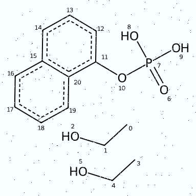 CCO.CCO.O=P(O)(O)Oc1cccc2ccccc12